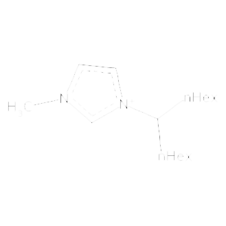 CCCCCCC(CCCCCC)[n+]1ccn(C)c1